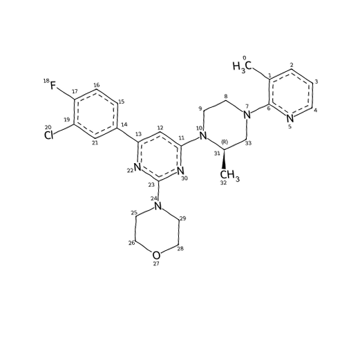 Cc1cccnc1N1CCN(c2cc(-c3ccc(F)c(Cl)c3)nc(N3CCOCC3)n2)[C@H](C)C1